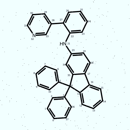 c1ccc(C2(c3ccccc3)c3ccccc3-c3ccc(Nc4ccccc4-c4cccnc4)cc32)cc1